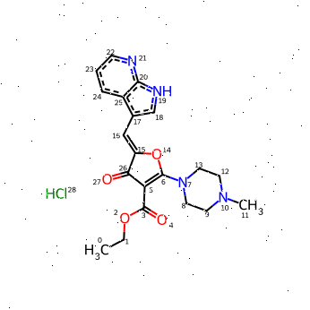 CCOC(=O)C1=C(N2CCN(C)CC2)OC(=Cc2c[nH]c3ncccc23)C1=O.Cl